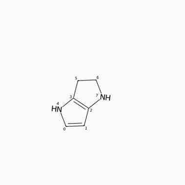 c1cc2c([nH]1)CCN2